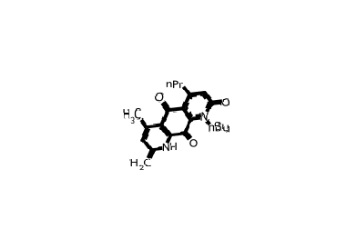 C=C1C=C(C)C2=C(N1)C(=O)c1c(c(CCC)cc(=O)n1CCCC)C2=O